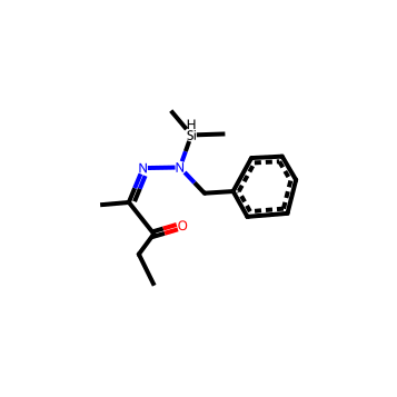 CCC(=O)C(C)=NN(Cc1ccccc1)[SiH](C)C